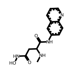 CNC(CC(=O)NO)C(=O)Nc1ccc2ncccc2c1